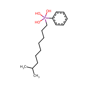 CC(C)CCCCCCCP(O)(O)(O)c1ccccc1